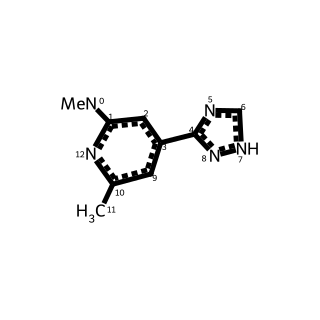 CNc1cc(-c2nc[nH]n2)cc(C)n1